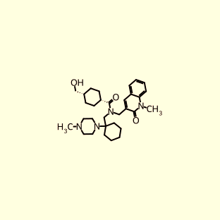 CN1CCN(C2(CN(Cc3cc4ccccc4n(C)c3=O)C(=O)[C@H]3CC[C@@H](CO)CC3)CCCCC2)CC1